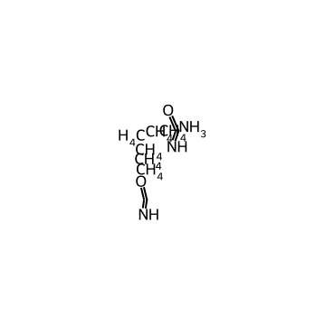 C.C.C.C.C.C.N.N=C=O.N=C=O